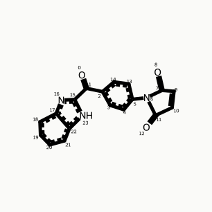 O=C(c1ccc(N2C(=O)C=CC2=O)cc1)c1nc2ccccc2[nH]1